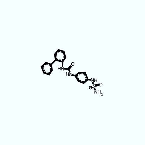 NS(=O)(=O)Nc1ccc(NC(=O)Nc2ccccc2-c2ccccc2)cc1